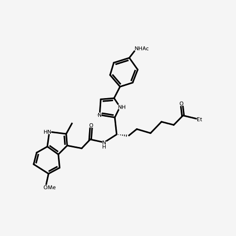 CCC(=O)CCCCC[C@H](NC(=O)Cc1c(C)[nH]c2ccc(OC)cc12)C1=[N+]C=C(c2ccc(NC(C)=O)cc2)N1